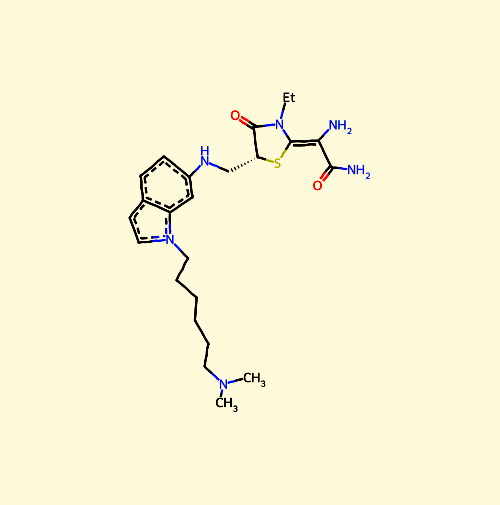 CCN1C(=O)[C@@H](CNc2ccc3ccn(CCCCCCN(C)C)c3c2)S/C1=C(/N)C(N)=O